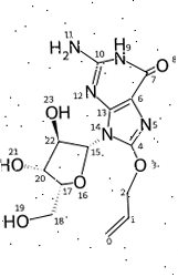 C=CCOc1nc2c(=O)[nH]c(N)nc2n1[C@@H]1O[C@H](CO)[C@H](O)[C@H]1O